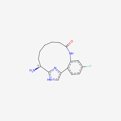 N[C@H]1CCCCCC(=O)Nc2cc(F)ccc2-c2c[nH]c1n2